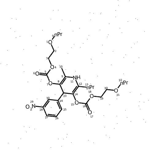 CCCOCCOC(=O)OC1=C(C)NC(CCC)=C(OC(=O)OCCOCCC)C1c1cccc([N+](=O)[O-])c1